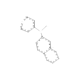 CN(c1ccncc1)c1ccc2ccccc2c1